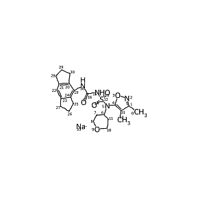 Cc1noc(N(C2CCOCC2)S(=O)(=O)NC(=O)Nc2c3c(cc4c2CCC4)CCC3)c1C.[Na]